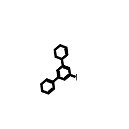 Ic1cc(C2=CCCC=C2)cc(C2C=CCCC2)c1